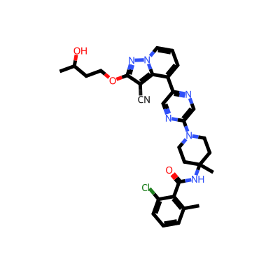 Cc1cccc(Cl)c1C(=O)NC1(C)CCN(c2cnc(-c3cccn4nc(OCCC(C)O)c(C#N)c34)cn2)CC1